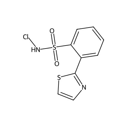 O=S(=O)(NCl)c1ccccc1-c1nccs1